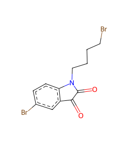 O=C1C(=O)N(CCCCBr)c2ccc(Br)cc21